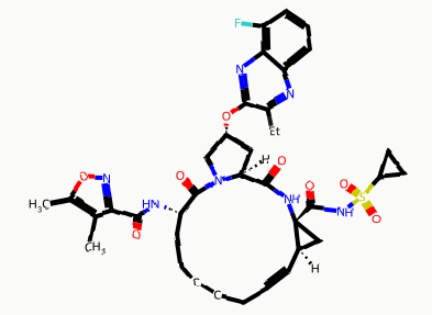 CCc1nc2cccc(F)c2nc1O[C@@H]1C[C@H]2C(=O)N[C@]3(C(=O)NS(=O)(=O)C4CC4)C[C@H]3/C=C\CCCCC[C@H](NC(=O)c3noc(C)c3C)C(=O)N2C1